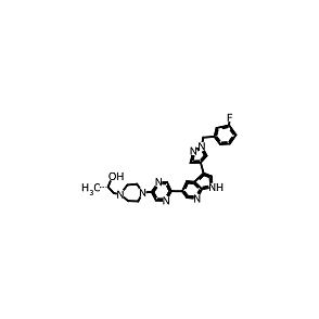 C[C@H](O)CN1CCN(c2cnc(-c3cnc4[nH]cc(-c5cnn(Cc6cccc(F)c6)c5)c4c3)cn2)CC1